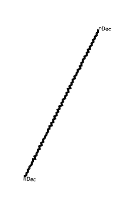 CCCCCCCCCCCCCCCCCCCCCCCCCCCCCCCCCCCCCCCCCCCCCCCCCCCCCCCCCCCCCCCCCCCCCCCCCCCCCCCCCCCCCCCCCCCCCCCCCCCCCCCCCCCCC